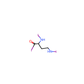 O=C(I)C(CCNI)NI